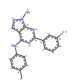 CCCn1ncc2c(Nc3ccc(C)cc3)nc(-c3cccc(F)c3)nc21